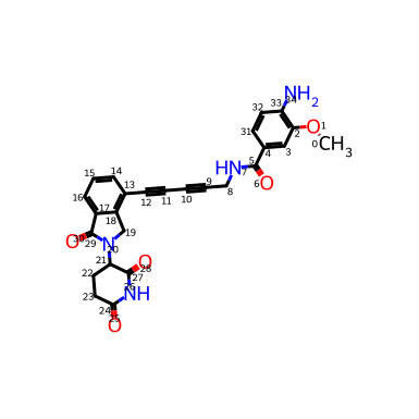 COc1cc(C(=O)NCC#CC#Cc2cccc3c2CN(C2CCC(=O)NC2=O)C3=O)ccc1N